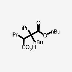 CCCCOC(=O)C(CCCC)(C(C)C)C(C(=O)O)C(C)C